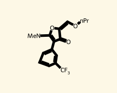 CCCOC=C1OC(NC)=C(c2cccc(C(F)(F)F)c2)C1=O